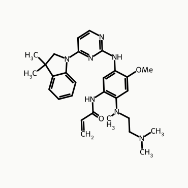 C=CC(=O)Nc1cc(Nc2nccc(N3CC(C)(C)c4ccccc43)n2)c(OC)cc1N(C)CCN(C)C